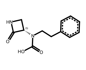 O=C1NC[C@@H]1N(CCc1ccccc1)C(=O)O